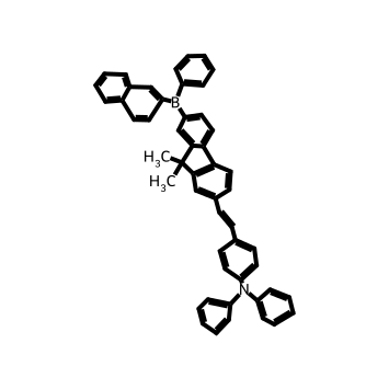 CC1(C)c2cc(/C=C/c3ccc(N(c4ccccc4)c4ccccc4)cc3)ccc2-c2ccc(B(c3ccccc3)c3ccc4ccccc4c3)cc21